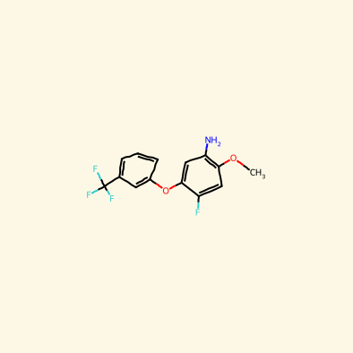 COc1cc(F)c(Oc2cccc(C(F)(F)F)c2)cc1N